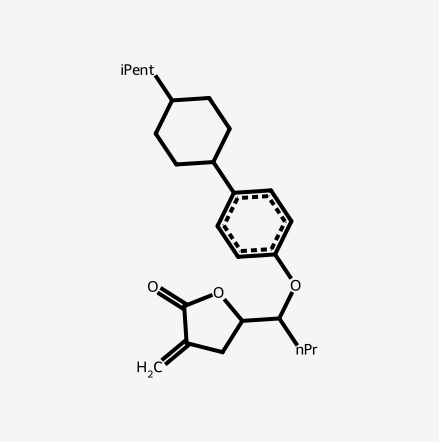 C=C1CC(C(CCC)Oc2ccc(C3CCC(C(C)CCC)CC3)cc2)OC1=O